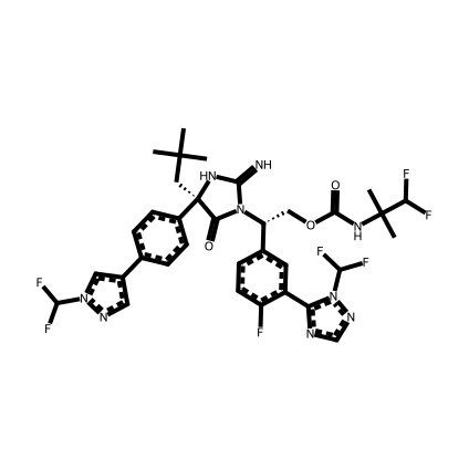 CC(C)(C)C[C@]1(c2ccc(-c3cnn(C(F)F)c3)cc2)NC(=N)N([C@H](COC(=O)NC(C)(C)C(F)F)c2ccc(F)c(-c3ncnn3C(F)F)c2)C1=O